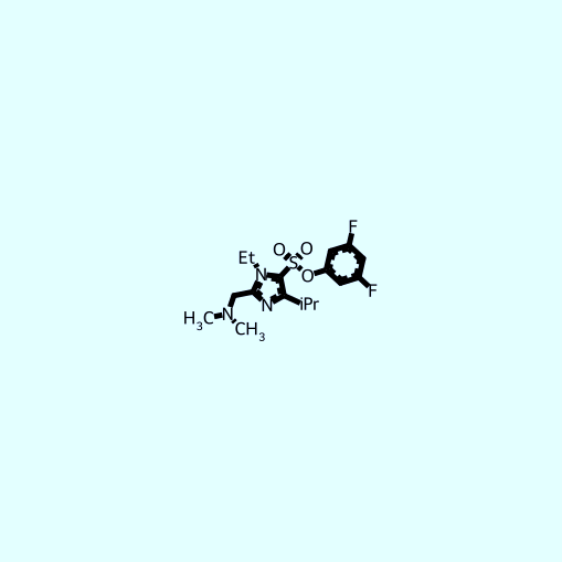 CCn1c(CN(C)C)nc(C(C)C)c1S(=O)(=O)Oc1cc(F)cc(F)c1